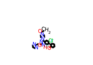 C=CC(=O)N1CCN(c2nc(OCc3ncccn3)nc3c(F)c(-c4c(O)cccc4F)c(Cl)cc23)CC1